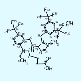 CCN(CCCCC(=O)O)c1ccc(C(F)(F)F)cc1CNC1C=CN(C)N1Cc1cc(C(F)(F)F)cc(C(F)(F)F)c1.Cl